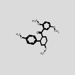 COc1ccc(C2CC(OC)CCC2C(=O)c2cc(OC)ccc2OC)cc1